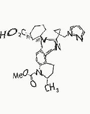 COC(=O)N1c2ccc3c(nc(C4(Cn5cccn5)CC4)n3[C@@H]3CCC[C@@H](C(=O)O)C3)c2CCC1C